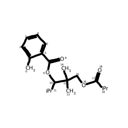 Cc1ccccc1C(=O)OC(C(C)C)C(C)(C)COC(=O)C(C)C